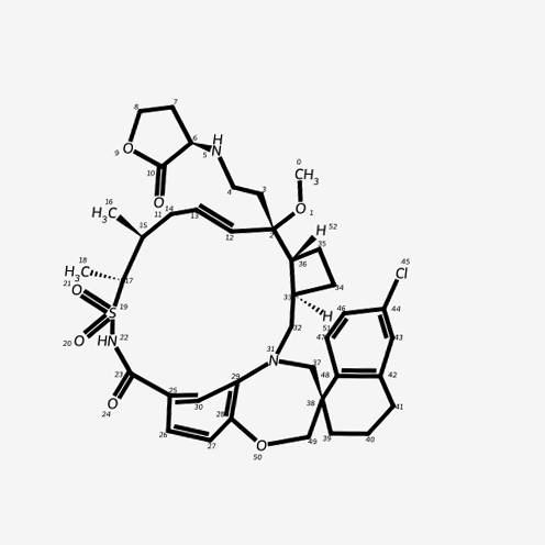 CO[C@@]1(CCN[C@@H]2CCOC2=O)/C=C/C[C@H](C)[C@@H](C)S(=O)(=O)NC(=O)c2ccc3c(c2)N(C[C@@H]2CC[C@H]21)C[C@@]1(CCCc2cc(Cl)ccc21)CO3